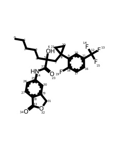 CCCCCC(O)(CC1(c2cc(C(F)(F)F)ccc2F)CC1)C(=O)Nc1ccc2c(c1)COC2=O